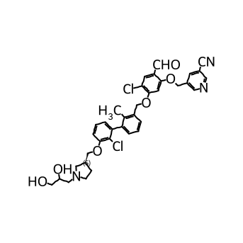 Cc1c(COc2cc(OCc3cncc(C#N)c3)c(C=O)cc2Cl)cccc1-c1cccc(OC[C@H]2CCN(CC(O)CO)C2)c1Cl